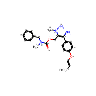 CCOC(=O)/C=C/Oc1ccc(/C(N)=C(\COC(=O)N(C)Cc2ccccc2)N(C)N)cc1